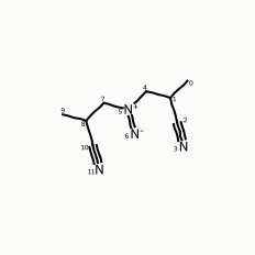 CC(C#N)C[N+](=[N-])CC(C)C#N